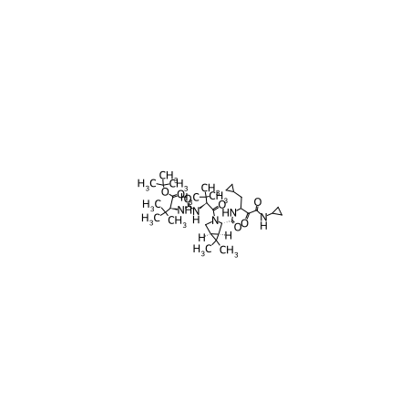 CC(C)(C)OC(=O)[C@@H](NC(=O)N[C@H](C(=O)N1C[C@H]2[C@@H]([C@H]1C(=O)NC(CC1CC1)C(=O)C(=O)NC1CC1)C2(C)C)C(C)(C)C)C(C)(C)C